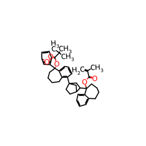 C=C(C)C(=O)OC1(C2CC3(c4cccc5c4CCCCC5(OC(=O)C(C)(C)C)c4cc5ccc4o5)CCC2C3)CCCCc2ccccc21